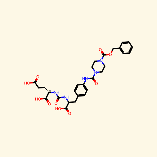 O=C(O)CC[C@H](NC(=O)NC(Cc1ccc(NC(=O)N2CCN(C(=O)OCc3ccccc3)CC2)cc1)C(=O)O)C(=O)O